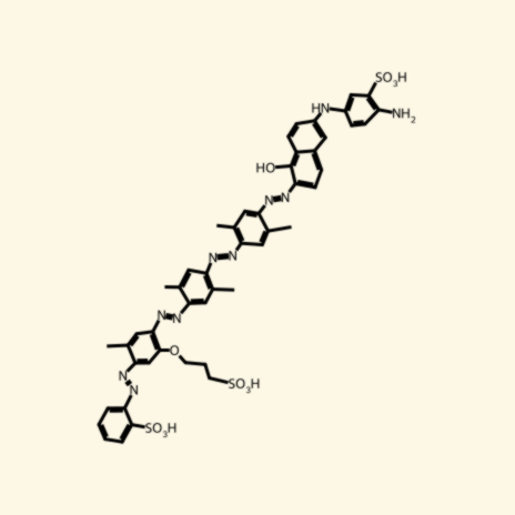 Cc1cc(N=Nc2cc(C)c(N=Nc3ccccc3S(=O)(=O)O)cc2OCCCS(=O)(=O)O)c(C)cc1N=Nc1cc(C)c(N=Nc2ccc3cc(Nc4ccc(N)c(S(=O)(=O)O)c4)ccc3c2O)cc1C